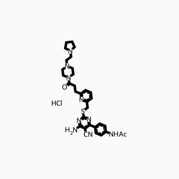 CC(=O)Nc1ccc(-c2nc(SCc3cccc(CCC(=O)N4CCN(CCN5CCCC5)CC4)n3)nc(N)c2C#N)cc1.Cl